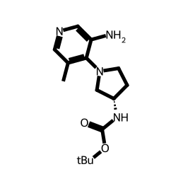 Cc1cncc(N)c1N1CC[C@H](NC(=O)OC(C)(C)C)C1